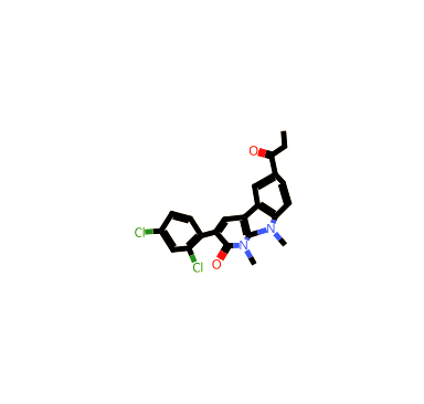 CCC(=O)c1ccc2c(c1)c1cc(-c3ccc(Cl)cc3Cl)c(=O)n(C)c1n2C